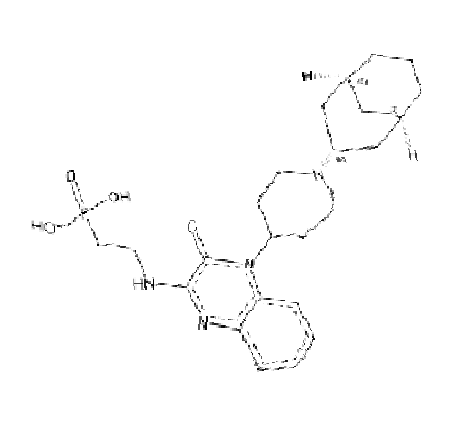 O=c1c(NCCP(=O)(O)O)nc2ccccc2n1C1CCN([C@H]2C[C@@H]3CCC[C@@H](C3)C2)CC1